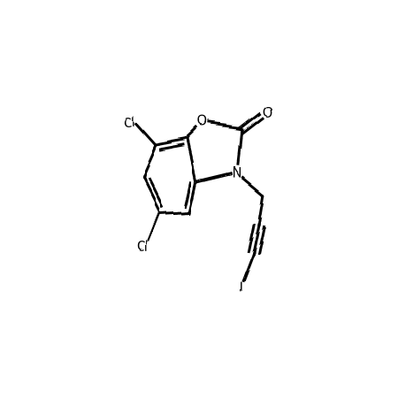 O=c1oc2c(Cl)cc(Cl)cc2n1CC#CI